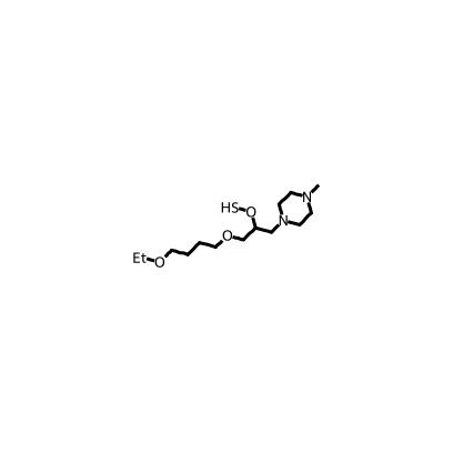 CCOCCCCOCC(CN1CCN(C)CC1)OS